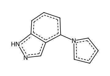 c1cc(-n2cccc2)c2cn[nH]c2c1